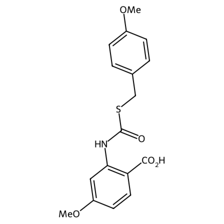 COc1ccc(CSC(=O)Nc2cc(OC)ccc2C(=O)O)cc1